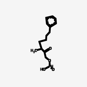 CC(CCCCc1ccccc1)C(=O)CO[PH](=O)O